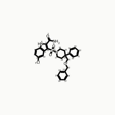 NC(=O)c1[nH]c2ccc(Cl)cc2c1S(=O)(=O)N1CCC(COCc2ccccc2)(c2ccccc2)CC1